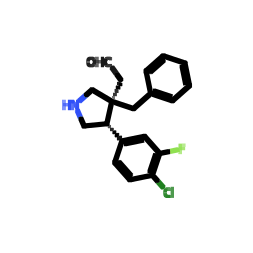 O=CC[C@@]1(Cc2ccccc2)CNC[C@H]1c1ccc(Cl)c(F)c1